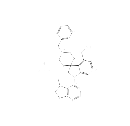 CC1CCc2ncnc(N3CC4(CCN(Cc5ccccc5)CC4)c4c(CN)cccc43)c21.Cl.Cl.Cl